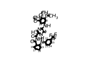 COc1cc(Nc2ncc(C(C)NC(=O)c3ccccc3Nc3cccc(C(F)(F)F)c3)nn2)cc(OC)c1OC